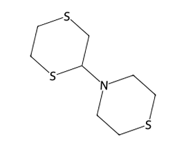 C1CN(C2CSCCS2)CCS1